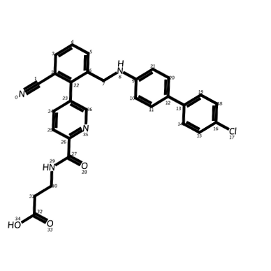 N#Cc1cccc(CNc2ccc(-c3ccc(Cl)cc3)cc2)c1-c1ccc(C(=O)NCCC(=O)O)nc1